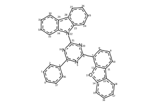 c1ccc(-c2nc(-c3cccc4c3oc3ccccc34)nc(-n3c4ccccc4c4ccccc43)n2)cc1